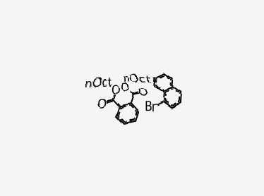 Brc1cccc2ccccc12.CCCCCCCCOC(=O)c1ccccc1C(=O)OCCCCCCCC